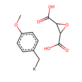 COc1ccc([CH2][K])cc1.O=C(O)C1OC1C(=O)O